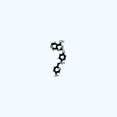 CC(C)c1ccc(CNc2ccc(Oc3nc(O)c4ccncc4n3)cc2)nc1